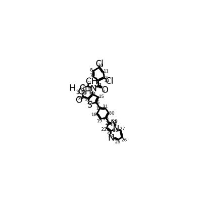 CC(C)N(C(=O)c1ccc(Cl)cc1Cl)c1cc(-c2ccc(-c3cc4ncccn4n3)cc2)sc1C(=O)O